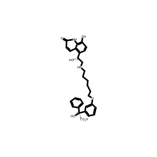 O=C(O)[C@](O)(c1ccccc1)c1cccc(OCCCCCCNC[C@H](O)c2ccc(O)c3[nH]c(=O)ccc23)c1